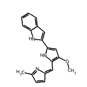 COc1cc(-c2cc3ccccc3[nH]2)[nH]c1C=C1C=CC(C)=N1